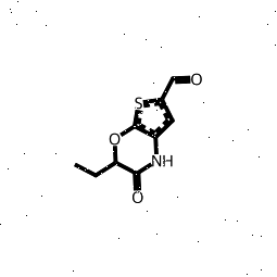 CCC1Oc2sc(C=O)cc2NC1=O